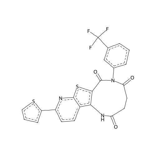 O=C1CCC(=O)N(c2cccc(C(F)(F)F)c2)C(=O)c2sc3nc(-c4cccs4)ccc3c2N1